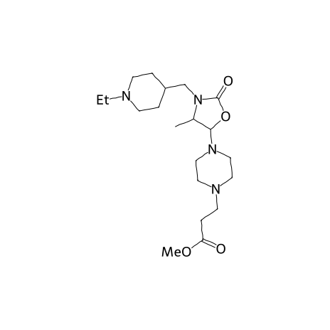 CCN1CCC(CN2C(=O)OC(N3CCN(CCC(=O)OC)CC3)C2C)CC1